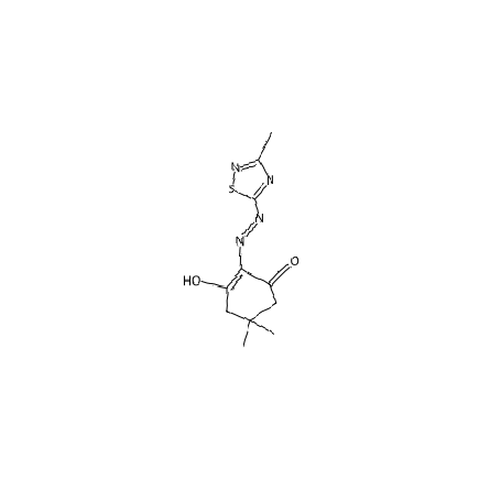 Cc1nsc(N=NC2=C(O)CC(C)(C)CC2=O)n1